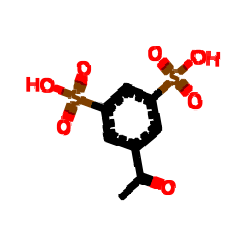 CC(=O)c1cc(S(=O)(=O)O)cc(S(=O)(=O)O)c1